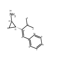 CC(C)/C(=C\c1ccccc1)[C@@H]1CC1N